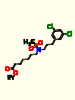 CC(C)OC(=O)CCCCCCN(CCCc1cc(Cl)cc(Cl)c1)S(C)(=O)=O